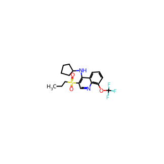 CCCS(=O)(=O)c1cnc2c(OC(F)(F)F)cccc2c1NC1CCCC1